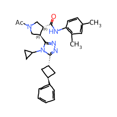 CC(=O)N1C[C@H](C(=O)Nc2ccc(C)cc2C)[C@@H](c2nnc([C@H]3C[C@H](c4ccccc4)C3)n2C2CC2)C1